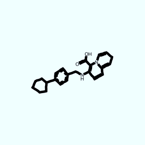 O=C(O)C1=C(NCc2ccc(C3CCCCC3)cc2)C=CC2=CCC=CN21